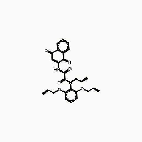 C=CCOc1cccc(OCC=C)c1N(CC=C)C(=O)C(=O)NC1=CC(=O)c2ccccc2C1=O